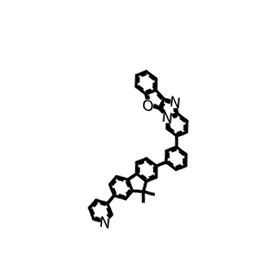 CC1(C)c2cc(-c3cccnc3)ccc2-c2ccc(-c3cccc(-c4ccc5nc6c7ccccc7oc6n5c4)c3)cc21